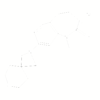 CN1C(=O)[C@@H](N)COc2ccc(N3CC4(CCOCC4)C3)cc21